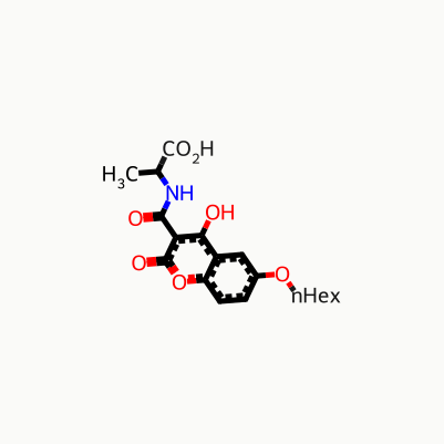 CCCCCCOc1ccc2oc(=O)c(C(=O)NC(C)C(=O)O)c(O)c2c1